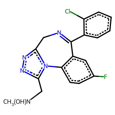 CN(O)Cc1nnc2n1-c1ccc(F)cc1C(c1ccccc1Cl)=NC2